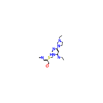 C=N/C=C(/C=O)SCNC(/C=C(\N=C)N1CCN(CC)C1)=N/CC